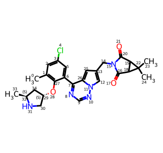 Cc1cc(Cl)cc(-c2ncnn3cc(CN4C(=O)C5C(C4=O)C5(C)C)cc23)c1O[C@@H]1CN[C@@H](C)C1